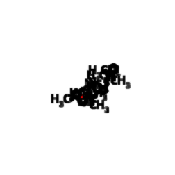 CCc1ccc(CSc2nnc(SC3=C(/C=C/C4=[N+](C)c5ccccc5C4(C)C)CC/C3=C\C=C3\N(C)c4ccccc4C3(C)C)s2)cc1